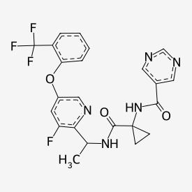 CC(NC(=O)C1(NC(=O)c2cncnc2)CC1)c1ncc(Oc2ccccc2C(F)(F)F)cc1F